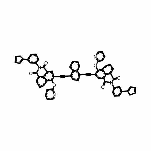 O=C1c2cccc3c(Oc4ccccn4)c(C#Cc4ccc(C#Cc5cc6c7c(cccc7c5Oc5ccccn5)C(=O)N(c5cccc(C7=CC=CC7)c5)C6=O)c5ccccc45)cc(c23)C(=O)N1c1cccc(C2=CC=CC2)c1